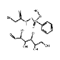 O=C(CBr)NO[As](=O)(OO)c1ccccc1.O=CC(O)C(O)C(O)C(O)CO